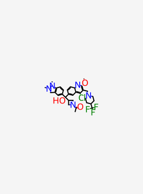 COc1nc2ccc(C(O)(c3ccc4c(c3)CN(C)N4C)C3CN(C(C)=O)C3)cc2c(Cl)c1CN1CCC(C(F)(F)F)CC1